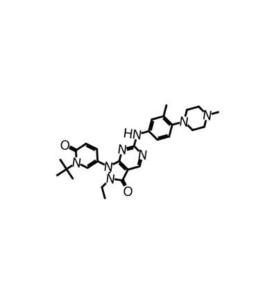 CCn1c(=O)c2cnc(Nc3ccc(N4CCN(C)CC4)c(C)c3)nc2n1-c1ccc(=O)n(C(C)(C)C)c1